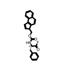 O=C(N[C@@H](Cc1ccccc1)C(=O)F)OCC1C=Cc2c1ccc1ccccc21